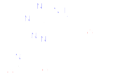 C=C(COc1ccccc1)C(=O)N1CCCC(n2nc(-c3ccc(Oc4ccccc4)cc3)c3c(N)ncnc32)C1